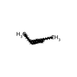 CCCCCCCCCc1ccc2cc3cc4cc5ccc(CCCCCCCCC)cc5cc4cc3cc2c1